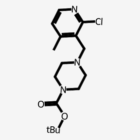 Cc1ccnc(Cl)c1CN1CCN(C(=O)OC(C)(C)C)CC1